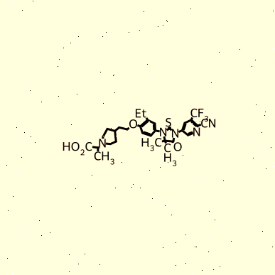 CCc1cc(N2C(=S)N(c3cnc(C#N)c(C(F)(F)F)c3)C(=O)C2(C)C)ccc1OCCC1CCN(C(C)C(=O)O)CC1